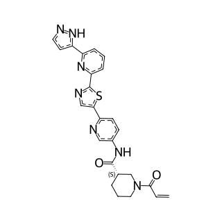 C=CC(=O)N1CCC[C@H](C(=O)Nc2ccc(-c3cnc(-c4cccc(-c5ccn[nH]5)n4)s3)nc2)C1